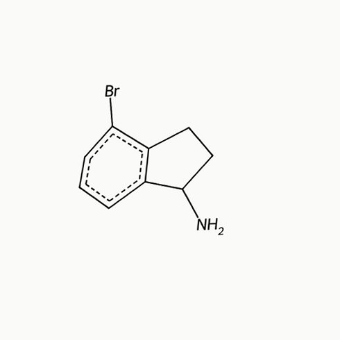 NC1CCc2c(Br)cccc21